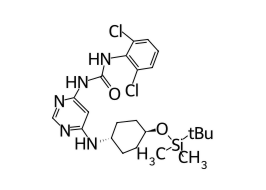 CC(C)(C)[Si](C)(C)O[C@H]1CC[C@H](Nc2cc(NC(=O)Nc3c(Cl)cccc3Cl)ncn2)CC1